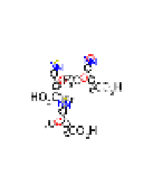 CC(C)CC(C(=O)O)c1ccc(-c2ccc3nsnc3c2)c(OCC2CC2)c1.O=C(O)C1(c2ccc(-c3ccc4nonc4c3)c(OCC(F)(F)F)c2)CCC1.O=C(O)C1(c2ccc(-c3ccc4nsnc4c3)c(OCC(F)(F)F)c2)CCC1